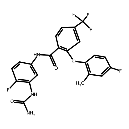 Cc1cc(F)ccc1Oc1cc(C(F)(F)F)ccc1C(=O)Nc1ccc(F)c(NC(N)=O)c1